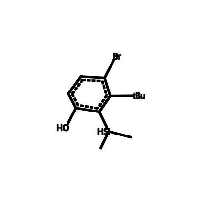 C[SiH](C)c1c(O)ccc(Br)c1C(C)(C)C